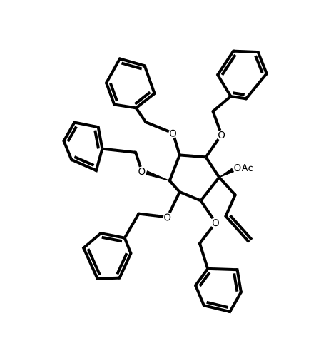 C=CC[C@]1(OC(C)=O)C(OCc2ccccc2)C(OCc2ccccc2)[C@@H](OCc2ccccc2)C(OCc2ccccc2)C1OCc1ccccc1